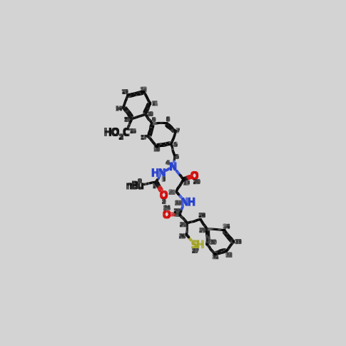 CCCCC(=O)NN(Cc1ccc(-c2ccccc2C(=O)O)cc1)C(=O)CNC(=O)C(CS)Cc1ccccc1